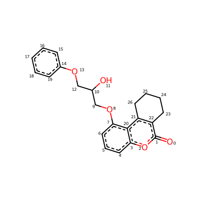 O=c1oc2cccc(OCC(O)COc3ccccc3)c2c2c1CCCC2